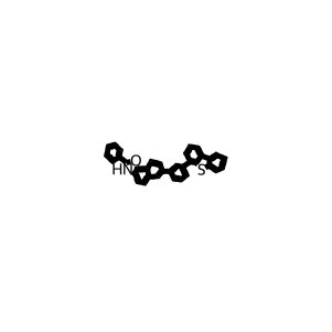 c1ccc(C2Nc3ccc4cc(-c5cccc(-c6cccc7c6sc6ccccc67)c5)ccc4c3O2)cc1